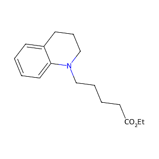 CCOC(=O)CCCCN1CCCc2ccccc21